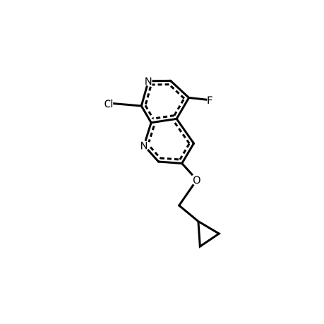 Fc1cnc(Cl)c2ncc(OCC3CC3)cc12